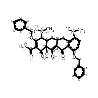 CN(C)c1ccc(OCc2ccccc2)c2c1CC1CC3C(N(C)C)C(OCc4ccccc4)=C(C(N)=O)C(=O)C3(O)C(O)=C1C2=O